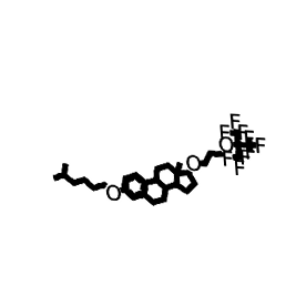 CC(C)CCCCOc1ccc2c(c1)CCC1C2CCC2(C)C(OCCCOC(C(F)(F)F)(C(F)(F)F)C(F)(F)F)CCC12